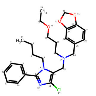 CCCCn1c(-c2ccccc2)nc(Cl)c1CN(CCCOCC)Cc1ccc2c(c1)OCO2